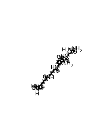 CC(OC(=O)NCCCC(N)C(N)=O)c1cc(CNC(=O)CCCCCNC(=O)CCCCC2SCC3NC(=O)NC32)ccc1[N+](=O)[O-]